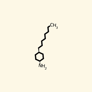 CCCCCCCC[C@H]1CC[C@H](N)CC1